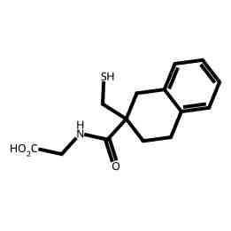 O=C(O)CNC(=O)C1(CS)CCc2ccccc2C1